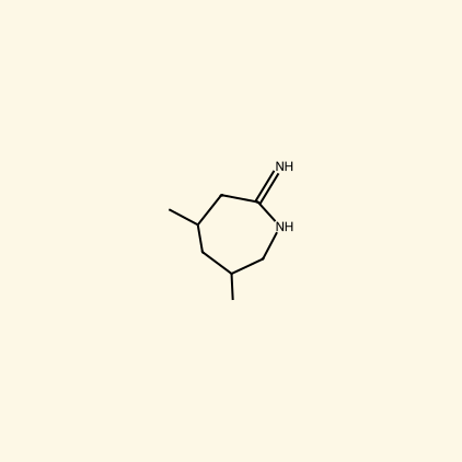 CC1CNC(=N)CC(C)C1